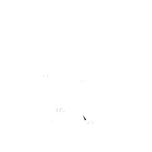 CCC[C@@H](NCC)C(=O)OCc1ccccc1.Cl